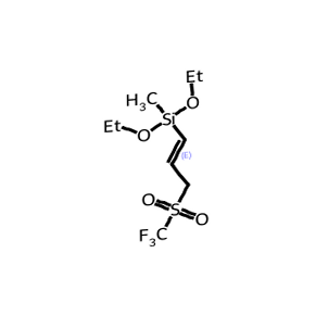 CCO[Si](C)(/C=C/CS(=O)(=O)C(F)(F)F)OCC